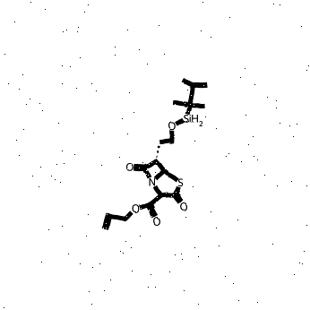 C=CCOC(=O)C1C(=O)SC2[C@@H](CCO[SiH2]C(C)(C)C(C)C)C(=O)N12